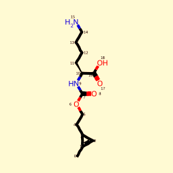 CC1=CC1CCOC(=O)N[C@@H](CCCCN)C(=O)O